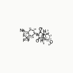 CO[C@H]1C[C@@]2(C)O[C@]1(C)[C@H]1C(=O)N(c3ccc(C#N)c(C(F)(F)F)c3)C(=O)[C@@H]12